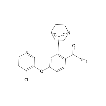 NC(=O)c1ccc(Oc2cnccc2Cl)cc1C1CC2CCN(CC2)C1